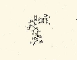 CC(C)n1cc(Nc2ncc(Cl)c(-c3ccc(C(=O)N[C@@H](C)C#N)cc3)n2)cn1